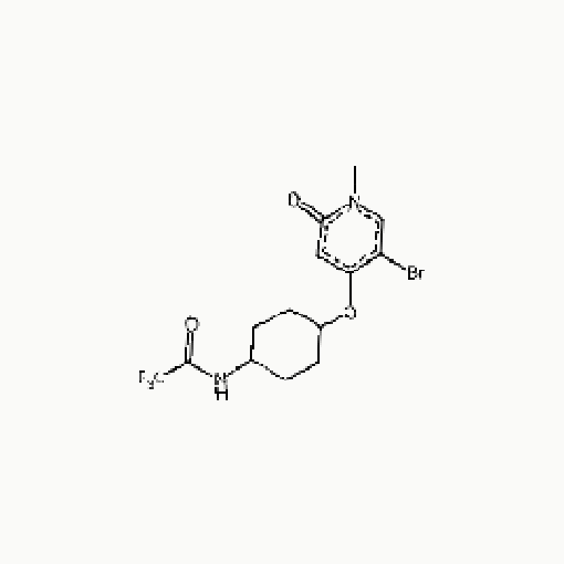 Cn1cc(Br)c(OC2CCC(NC(=O)C(F)(F)F)CC2)cc1=O